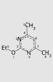 CCOc1nc(C)cc(C)n1